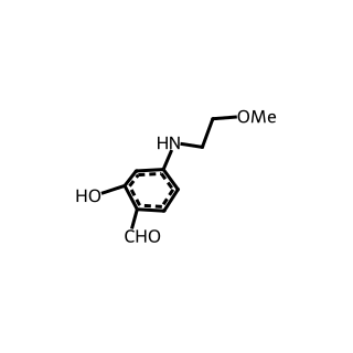 COCCNc1ccc(C=O)c(O)c1